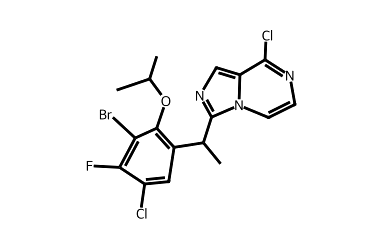 CC(C)Oc1c(C(C)c2ncc3c(Cl)nccn23)cc(Cl)c(F)c1Br